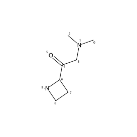 CN(C)CC(=O)C1CC[N]1